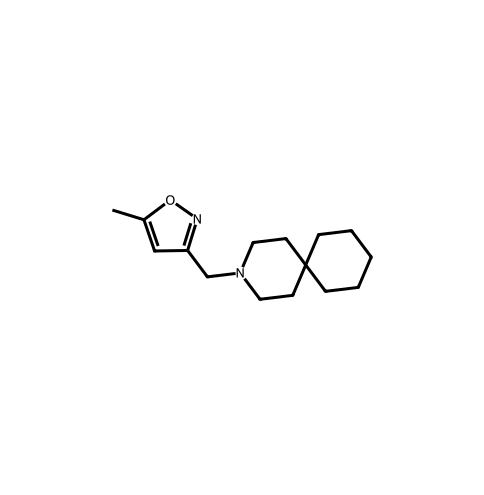 Cc1cc(CN2CCC3(CCCCC3)CC2)no1